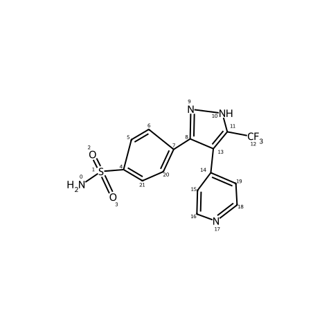 NS(=O)(=O)c1ccc(-c2n[nH]c(C(F)(F)F)c2-c2ccncc2)cc1